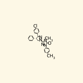 Cc1ccc(-n2nc(N3C[C@H](c4ccccc4)C(c4ccc(Cl)cc4)=N3)n(C)c2=O)cc1